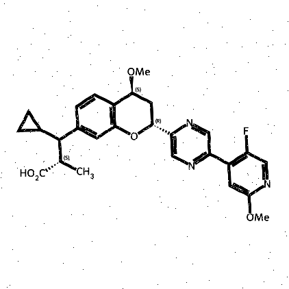 COc1cc(-c2cnc([C@H]3C[C@H](OC)c4ccc(C(C5CC5)[C@H](C)C(=O)O)cc4O3)cn2)c(F)cn1